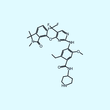 CCc1cc(Nc2ncc(C(F)(F)F)c(Oc3cccc4c3C(=O)N(C)C4(C)C)n2)c(OC)cc1C(=O)NC1CCNCC1